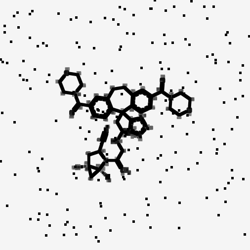 C=C(CN[C@H](C)CC1(c2nnn[nH]2)c2ccc(C(=O)N3CCOCC3)cc2CCc2cc(C(=O)N3CCOCC3)ccc21)N1C(C#N)C[C@@H]2C[C@@H]21